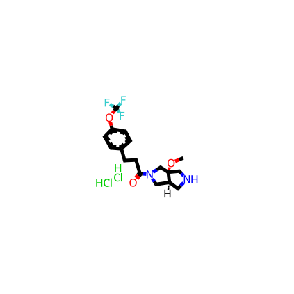 CO[C@@]12CNC[C@H]1CN(C(=O)CCc1ccc(OC(F)(F)F)cc1)C2.Cl.Cl